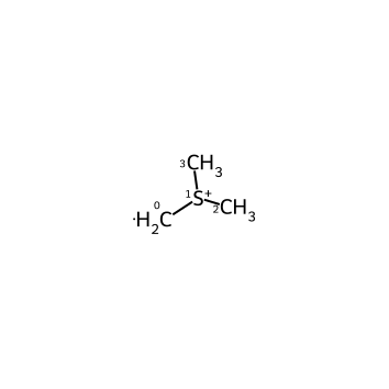 [CH2][S+](C)C